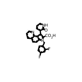 O=C(O)c1c(-c2ccc[nH]c2=O)c2c3ncccc3ccc2n1Cc1ccc(F)cc1F